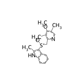 COc1c(C)cnc(C[S+]([O-])c2c(C)[nH]c3ccccc23)c1C